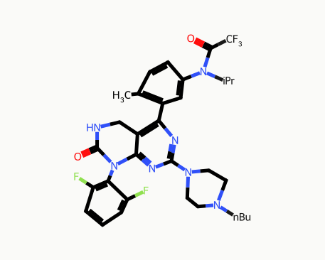 CCCCN1CCN(c2nc(-c3cc(N(C(=O)C(F)(F)F)C(C)C)ccc3C)c3c(n2)N(c2c(F)cccc2F)C(=O)NC3)CC1